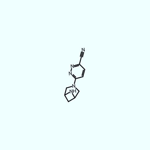 N#Cc1ccc(N2CC3CC(C2)N3)nn1